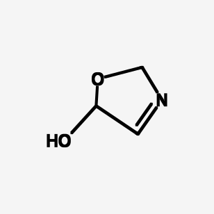 OC1C=NCO1